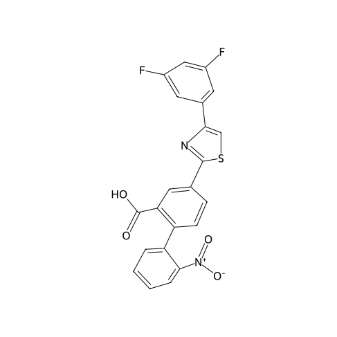 O=C(O)c1cc(-c2nc(-c3cc(F)cc(F)c3)cs2)ccc1-c1ccccc1[N+](=O)[O-]